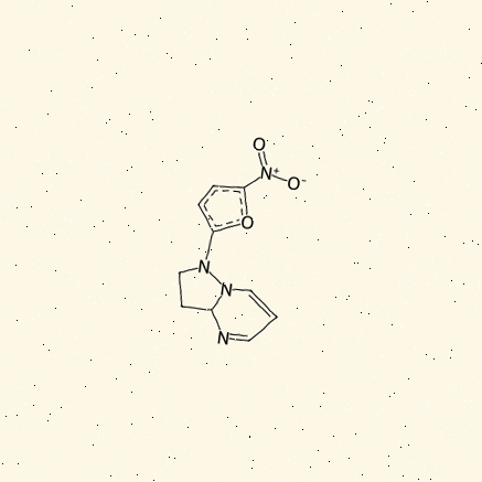 O=[N+]([O-])c1ccc(N2CCC3N=CC=CN32)o1